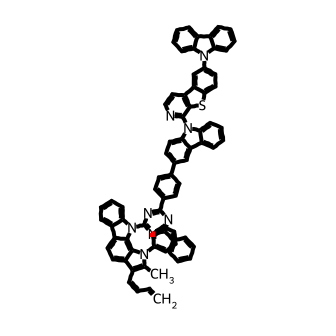 C=C/C=C\c1c(C)n(-c2ccccc2)c2c1ccc1c3ccccc3n(-c3nc(-c4ccccc4)nc(-c4ccc(-c5ccc6c(c5)c5ccccc5n6-c5nccc6c5sc5ccc(-n7c8ccccc8c8ccccc87)cc56)cc4)n3)c12